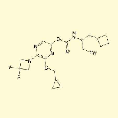 O=C(NC(CO)CC1CCC1)Oc1cnc(N2CC(F)(F)C2)c(OCC2CC2)n1